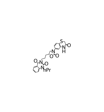 CCCn1c(=O)n(CCCC2CN(c3ccc4c(c3)NC(=O)CS4)C(=O)O2)c(=O)c2ccccc21